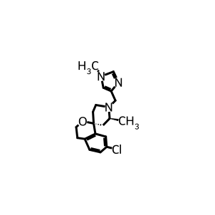 C[C@H]1C[C@@]2(CCN1Cc1cn(C)cn1)OCCc1ccc(Cl)cc12